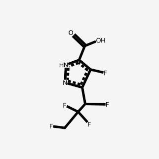 O=C(O)c1[nH]nc(C(F)C(F)(F)CF)c1F